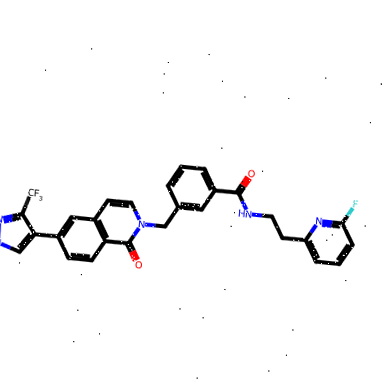 O=C(NCCc1cccc(F)n1)c1cccc(Cn2ccc3cc(-c4c[nH]nc4C(F)(F)F)ccc3c2=O)c1